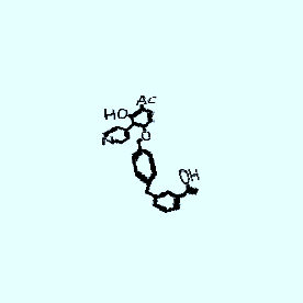 C=C(O)c1cccc(Cc2ccc(COc3ccc(C(C)=O)c(O)c3-c3ccncc3)cc2)c1